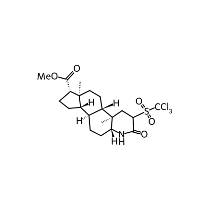 COC(=O)[C@H]1CC[C@H]2[C@@H]3CC[C@H]4NC(=O)C(S(=O)(=O)C(Cl)(Cl)Cl)C[C@]4(C)[C@H]3CC[C@]12C